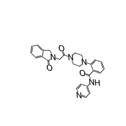 O=C(Nc1ccncc1)c1ccccc1N1CCN(C(=O)CN2Cc3ccccc3C2=O)CC1